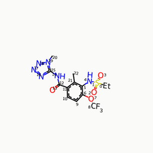 CCS(=O)(=O)Nc1c(OC(F)(F)F)ccc(C(=O)Nc2nnnn2C)c1C